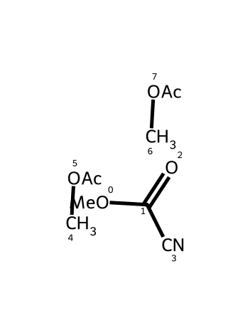 COC(=O)C#N.COC(C)=O.COC(C)=O